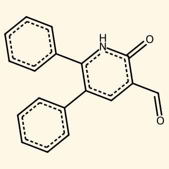 O=Cc1cc(-c2ccccc2)c(-c2ccccc2)[nH]c1=O